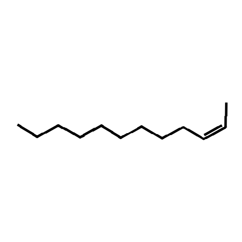 C/C=C\CCCCCCCCC